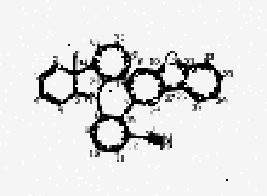 CC12C=CC=CC1N(c1cccc(C#N)c1-c1ccc3oc4ccccc4c3c1)c1ccccc12